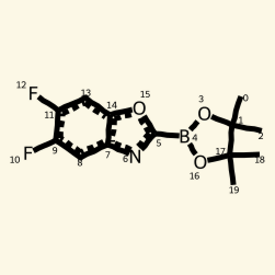 CC1(C)OB(c2nc3cc(F)c(F)cc3o2)OC1(C)C